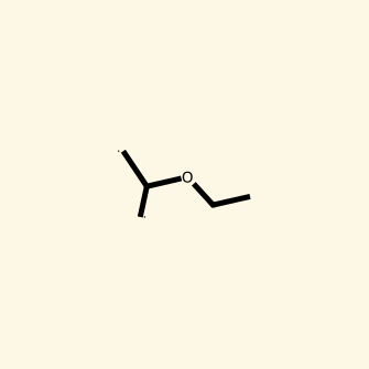 [CH2]C([CH2])OCC